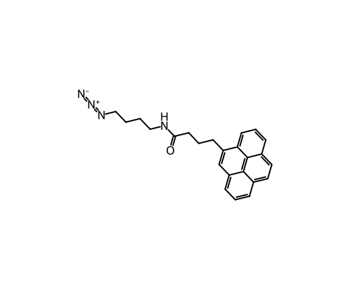 [N-]=[N+]=NCCCCNC(=O)CCCc1cc2cccc3ccc4cccc1c4c32